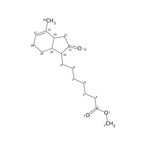 COC(=O)CCCCCCC1C(=O)CC2C(C)=CCCC12